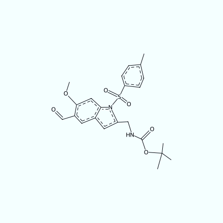 COc1cc2c(cc1C=O)cc(CNC(=O)OC(C)(C)C)n2S(=O)(=O)c1ccc(C)cc1